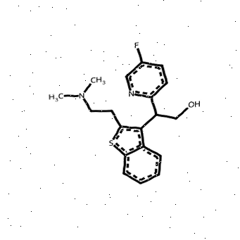 CN(C)CCc1sc2ccccc2c1C(CO)c1ccc(F)cn1